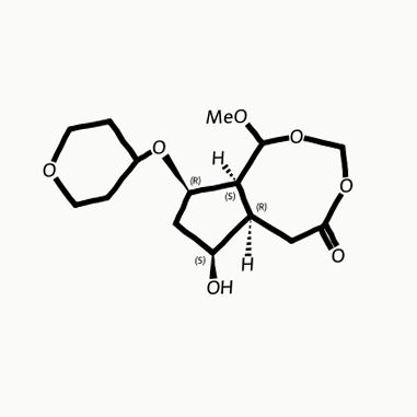 COC1OCOC(=O)C[C@@H]2[C@H]1[C@H](OC1CCOCC1)C[C@@H]2O